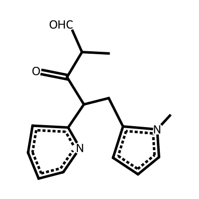 CC(C=O)C(=O)C(Cc1cccn1C)c1ccccn1